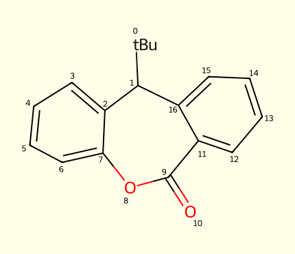 CC(C)(C)C1c2ccccc2OC(=O)c2ccccc21